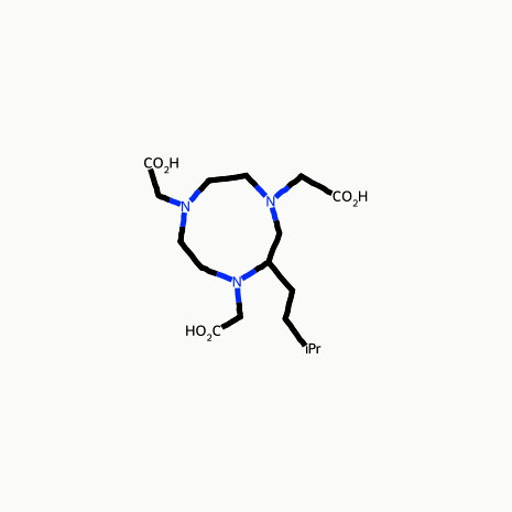 CC(C)CCC1CN(CC(=O)O)CCN(CC(=O)O)CCN1CC(=O)O